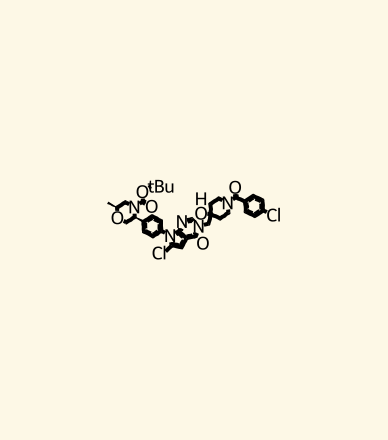 C[C@H]1CN(C(=O)OC(C)(C)C)[C@@H](c2ccc(-n3c(Cl)cc4c(=O)n(CC5(O)CCN(C(=O)c6ccc(Cl)cc6)CC5)cnc43)cc2)CO1